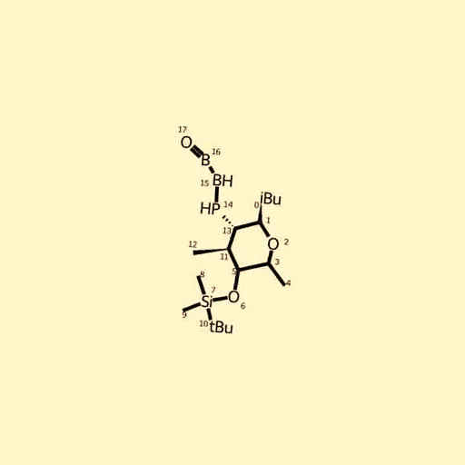 CC[C@H](C)C1OC(C)C(O[Si](C)(C)C(C)(C)C)[C@@H](C)[C@@H]1PBB=O